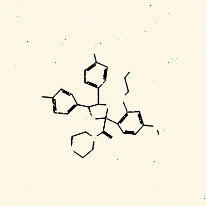 CCCOc1cc(OC)ccc1C1(C(=O)N2CCNCC2)NC(c2ccc(Cl)cc2)C(c2ccc(Cl)cc2)N1